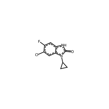 O=c1[nH]c2cc(F)c(Cl)cc2n1C1CC1